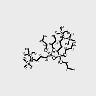 CCCO[Si](CCCN([Si](C)(C)C)[Si](C)(C)C)(OCCC)O[Si](CCCN([Si](C)(C)C)[Si](C)(C)C)(OCCC)OCCC